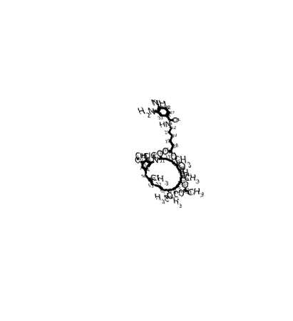 COc1cc2cc(c1Cl)N(C)C(=O)C[C@H](OC(=O)CCCCCNC(=O)c1ccc(N)c(N)c1)[C@]1(C)O[C@H]1[C@H](C)[C@@H](OC(C)=O)C[C@@H](C)[C@H](OC)/C=C/C=C(\C)C2